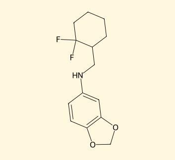 FC1(F)CCCCC1CNc1ccc2c(c1)OCO2